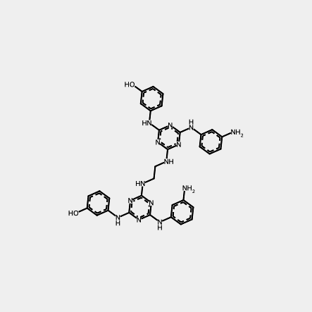 Nc1cccc(Nc2nc(NCCNc3nc(Nc4cccc(N)c4)nc(Nc4cccc(O)c4)n3)nc(Nc3cccc(O)c3)n2)c1